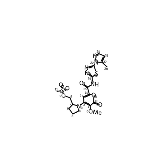 COc1c(N2CCCC2COS(C)(=O)=O)cc(C(=O)Nc2nnc(-n3nccc3C)s2)oc1=O